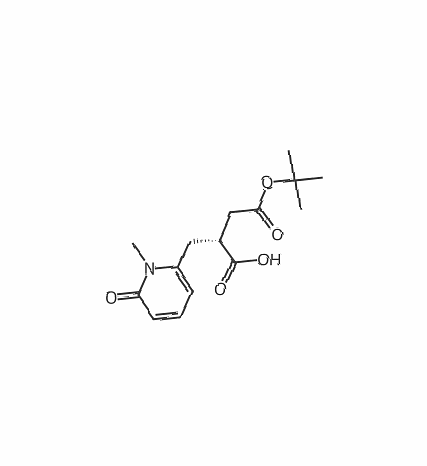 Cn1c(C[C@H](CC(=O)OC(C)(C)C)C(=O)O)cccc1=O